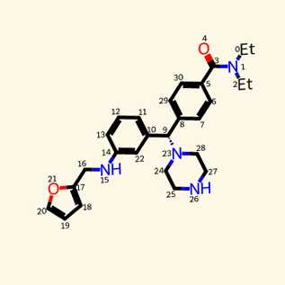 CCN(CC)C(=O)c1ccc([C@@H](c2cccc(NCc3ccco3)c2)N2CCNCC2)cc1